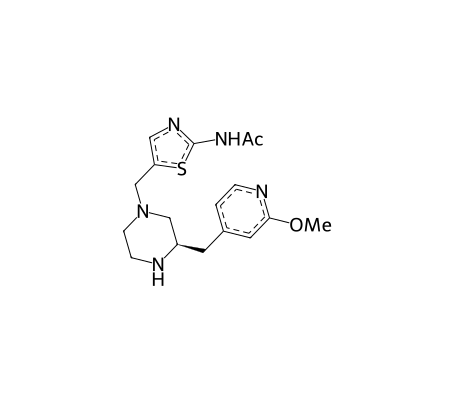 COc1cc(C[C@@H]2CN(Cc3cnc(NC(C)=O)s3)CCN2)ccn1